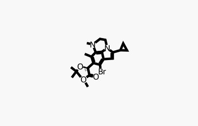 COC(=O)[C@@H](OC(C)(C)C)c1c(C)c2c3c(cc(C4CC4)n3CCN2C)c1Br